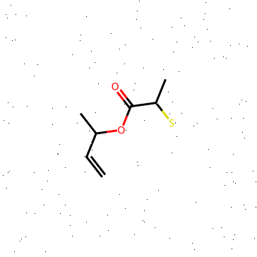 C=CC(C)OC(=O)C(C)[S]